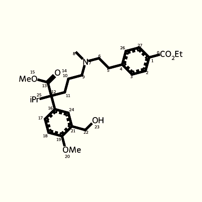 CCOC(=O)c1ccc(CCN(C)CCCC(C(=O)OC)(c2ccc(OC)c(CO)c2)C(C)C)cc1